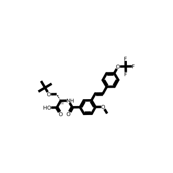 COc1ccc(C(=O)N[C@@H](COC(C)(C)C)C(=O)O)cc1C=Cc1ccc(OC(F)(F)F)cc1